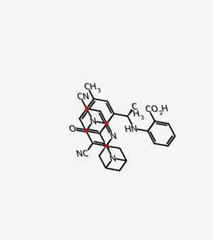 Cc1cc([C@@H](C)Nc2ccccc2C(=O)O)c2nc(N3C4CC3CN(c3ccc(C#N)cc3)C4)c(C#N)c(=O)n2c1